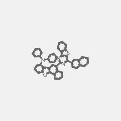 c1ccc(N(c2ccccc2)c2cccc3oc4c5ccccc5c(-c5nc(-c6ccc7ccccc7c6)c6sc7ccccc7c6n5)cc4c23)cc1